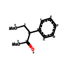 COCC(C(=O)OC)c1ccccc1